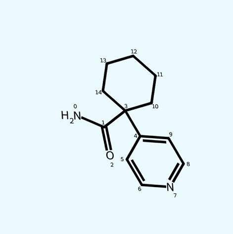 NC(=O)C1(c2ccncc2)CCCCC1